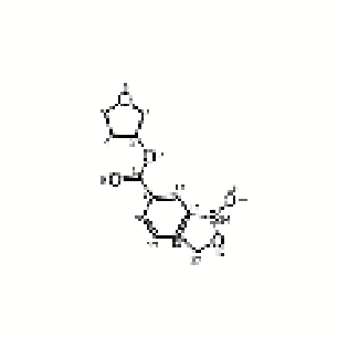 O=C(OC1CCOC1)c1ccc2c(c1)B(O)OC2